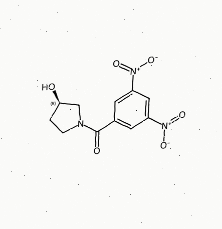 O=C(c1cc([N+](=O)[O-])cc([N+](=O)[O-])c1)N1CC[C@@H](O)C1